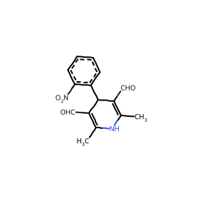 CC1=C(C=O)C(c2ccccc2[N+](=O)[O-])C(C=O)=C(C)N1